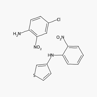 Nc1ccc(Cl)cc1[N+](=O)[O-].O=[N+]([O-])c1ccccc1Nc1ccsc1